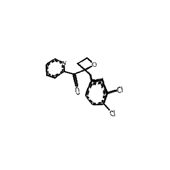 O=C(c1ccccn1)C1(c2ccc(Cl)c(Cl)c2)CCO1